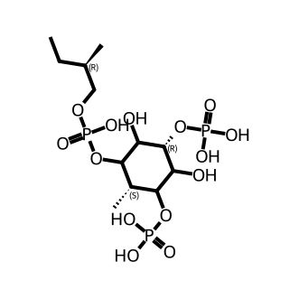 CC[C@@H](C)COP(=O)(O)OC1C(O)[C@H](OP(=O)(O)O)C(O)C(OP(=O)(O)O)[C@@H]1C